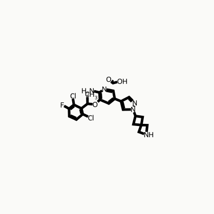 CC(Oc1cc(-c2cnn(C3CC4(CNC4)C3)c2)cnc1N)c1c(Cl)ccc(F)c1Cl.O=CO